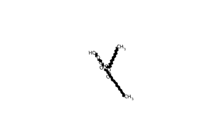 CCCCCCCCCCCCCC(=O)OCC(COC(=O)COCCOCCO)OC(=O)CCCCCCCCCCCCC